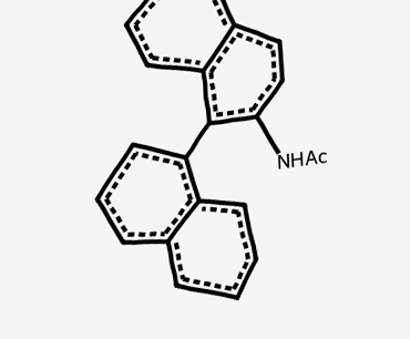 CC(=O)Nc1ccc2ccccc2c1-c1cccc2ccccc12